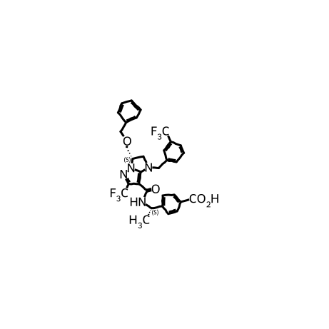 C[C@H](NC(=O)c1c(C(F)(F)F)nn2c1N(Cc1cccc(C(F)(F)F)c1)C[C@H]2COCc1ccccc1)c1ccc(C(=O)O)cc1